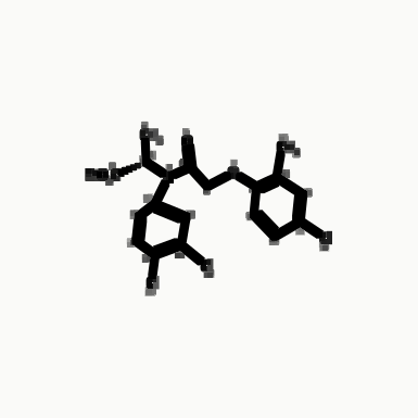 CCOC(=O)[C@H](C)N(C(=O)COc1ccc(Cl)cc1C)c1ccc(Cl)c(Cl)c1